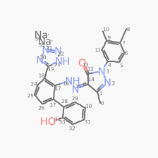 CC1=NN(c2ccc(C)c(C)c2)C(=O)C1=NNc1c(-c2nnn[nH]2)cccc1-c1ccccc1O.[Na].[Na]